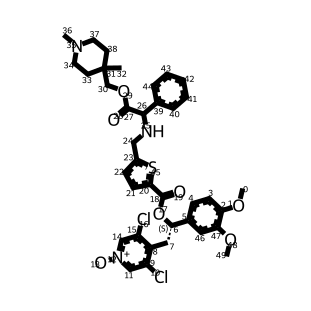 COc1ccc([C@H](Cc2c(Cl)c[n+]([O-])cc2Cl)OC(=O)c2ccc(CNC(C(=O)OCC3(C)CCN(C)CC3)c3ccccc3)s2)cc1OC